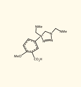 CNCN1C[N+](CNC)(c2ccc(OC)c(C(=O)O)c2)N=N1